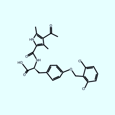 CC(=O)c1c(C)[nH]c(C(=O)N[C@@H](Cc2ccc(OCc3c(Cl)cccc3Cl)cc2)C(=O)O)c1C